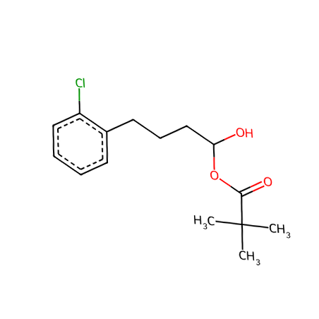 CC(C)(C)C(=O)OC(O)CCCc1ccccc1Cl